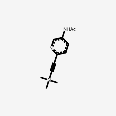 CC(=O)Nc1ccc(C#C[Si](C)(C)C)nc1